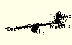 CCCCCCCCCCCCCCCCCCOCCCOP(OCCCCCCCCCCCc1cc(CC(C)(C)C(=O)OC)cc(CC(C)(C)C(=O)OC)c1)Oc1ccccc1C